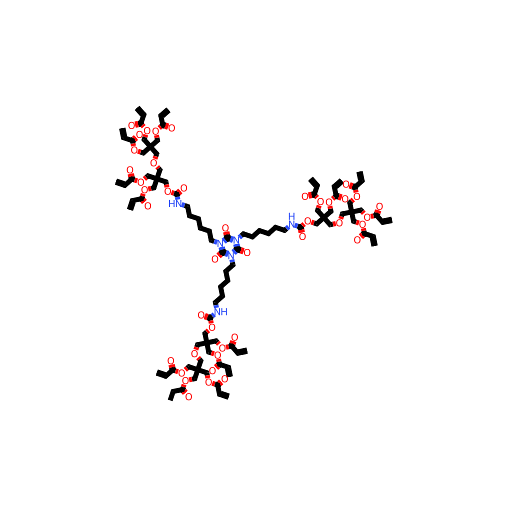 C=CC(=O)OCC(COCC(COC(=O)C=C)(COC(=O)C=C)COC(=O)NCCCCCCn1c(=O)n(CCCCCCNC(=O)OCC(COCC(COC(=O)C=C)(COC(=O)C=C)COC(=O)C=C)(COC(=O)C=C)COC(=O)C=C)c(=O)n(CCCCCCNC(=O)OCC(COCC(COC(=O)C=C)(COC(=O)C=C)COC(=O)CC)(COC(=O)C=C)COC(=O)C=C)c1=O)(COC(=O)C=C)COC(=O)C=C